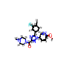 COc1ccc(-n2nc(C(=O)N3CCN(C)CC3)nc2-c2ccc(C)c(F)c2)cn1